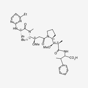 CCc1ccnc(N[C@H](C(=O)N(C)[C@@H]([C@@H](C)CC)[C@@H](CC(=O)N2CCC[C@H]2[C@H](OC)[C@@H](C)C(=O)NC(C(=O)O)C(C)c2ccccc2)OC)C(C)C)n1